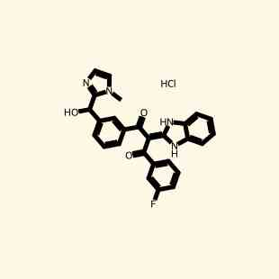 Cl.Cn1ccnc1C(O)c1cccc(C(=O)C(C(=O)c2cccc(F)c2)=C2Nc3ccccc3N2)c1